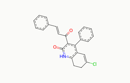 O=C(C=Cc1ccccc1)c1c(-c2ccccc2)c2c([nH]c1=O)CCC(Cl)=C2